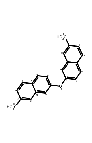 O=C(O)c1ccc2ccc(Oc3ccc4ccc(C(=O)O)cc4c3)cc2c1